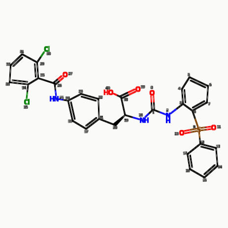 O=C(Nc1ccccc1S(=O)(=O)c1ccccc1)N[C@@H](Cc1ccc(NC(=O)c2c(Cl)cccc2Cl)cc1)C(=O)O